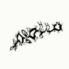 O=C(NCc1cccnc1)Nc1ccc(S(=O)(=O)c2ccc(C(F)(F)F)nc2)cc1